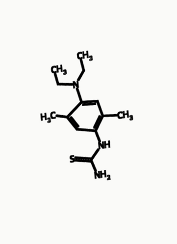 CCN(CC)c1cc(C)c(NC(N)=S)cc1C